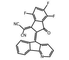 N#CC(C#N)=C1/C(=C2\c3ccccc3-c3ncccc32)C(=O)c2c(F)c(F)cc(F)c21